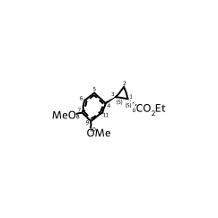 CCOC(=O)[C@H]1C[C@@H]1c1ccc(OC)c(OC)c1